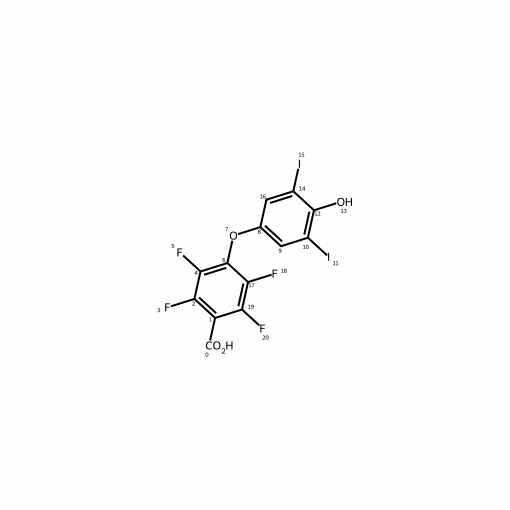 O=C(O)c1c(F)c(F)c(Oc2cc(I)c(O)c(I)c2)c(F)c1F